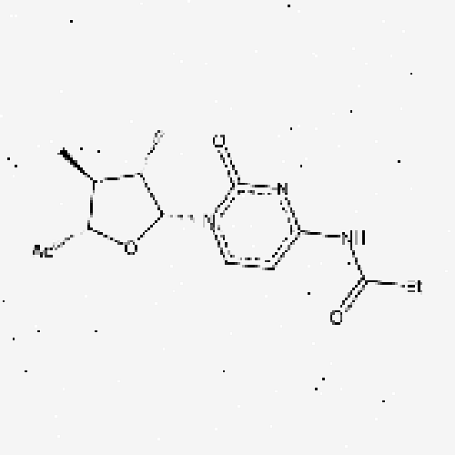 CCC(=O)Nc1ccn([C@@H]2O[C@H](C(C)=O)[C@@H](C)[C@@H]2C)c(=O)n1